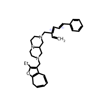 C=C/C(=C\C=C\c1ccccc1)CN1CCN2CCN(Cc3c(CC)oc4c3C=CC=CC4)CC2C1